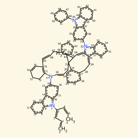 C=C/C=C(\C=C/C)n1c2ccccc2c2cc(N3/C=C/CC4(c5ccccc5C/C=c5\c(n(-c6ccc7c(c6)c6ccccc6n7-c6ccccc6)c6ccccc56)=C/C4C)c4ccccc4C/C=C/C4=C3CCC=C4)ccc21